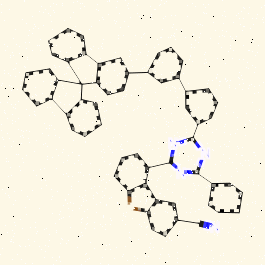 N#Cc1ccc2sc3cccc(-c4nc(-c5ccccc5)nc(-c5cccc(-c6cccc(-c7ccc8c(c7)-c7ccccc7C87c8ccccc8-c8ccccc87)c6)c5)n4)c3c2c1